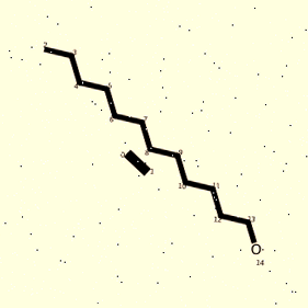 C=C.CCCCCCCCCCCC[O]